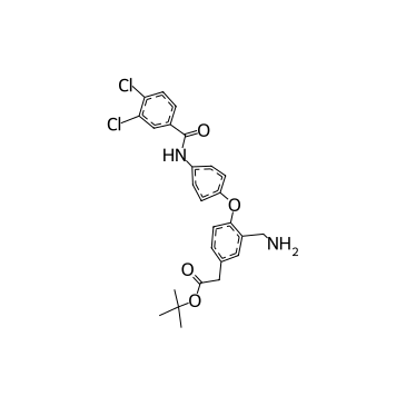 CC(C)(C)OC(=O)Cc1ccc(Oc2ccc(NC(=O)c3ccc(Cl)c(Cl)c3)cc2)c(CN)c1